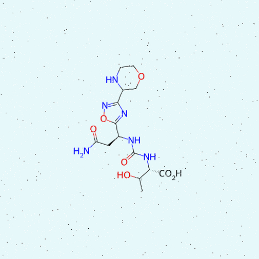 CC(O)[C@H](NC(=O)N[C@@H](CC(N)=O)c1nc(C2COCCN2)no1)C(=O)O